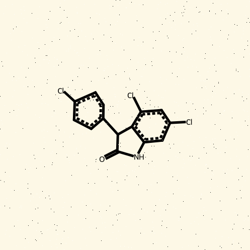 O=C1Nc2cc(Cl)cc(Cl)c2C1c1ccc(Cl)cc1